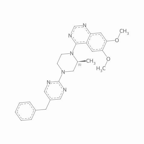 COc1cc2ncnc(N3CCN(c4ncc(Cc5ccccc5)cn4)C[C@@H]3C)c2cc1OC